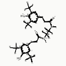 CN(C(=O)CCc1cc(C(C)(C)C)c(O)c(C(C)(C)C)c1)C(C)(C)C(C)(C)N(C)C(=O)CCc1cc(C(C)(C)C)c(O)c(C(C)(C)C)c1